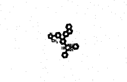 CC1CCN=C1C1=CC=CC(c2ccc(C3NC(C4=CCCC=C4)NC(C4C=CC=CC4)N3)cc2-c2ccc3c4c(ccc3c2)CCC=C4)C1